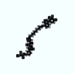 CC(C)NC(=O)OCC1CC[C@H](c2cc(NC(=O)c3cnn(CCCCCCCCCC#Cc4cccc5c(N6CCC(=O)NC6=O)cncc45)c3)n[nH]2)C1